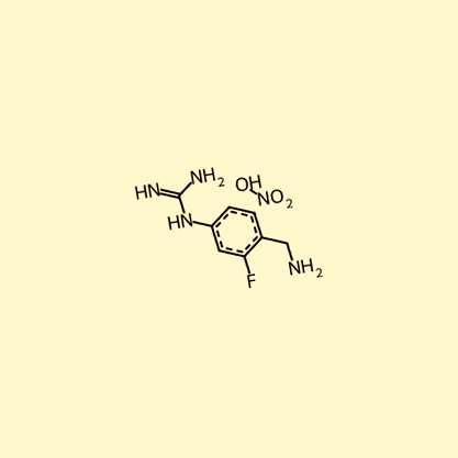 N=C(N)Nc1ccc(CN)c(F)c1.O=[N+]([O-])O